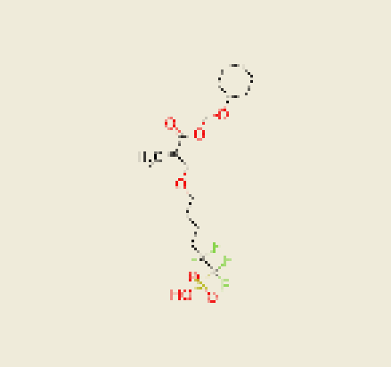 C=C(COCCCCC(F)(F)C(F)(F)S(=O)(=O)O)C(=O)OCOC1CCCCC1